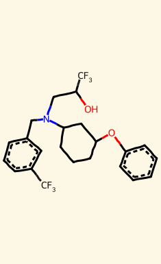 OC(CN(Cc1cccc(C(F)(F)F)c1)C1CCCC(Oc2ccccc2)C1)C(F)(F)F